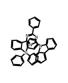 c1ccc(-c2nc(-c3ccccc3[Si](c3ccccc3)(c3ccccc3)c3ccccc3)nc(-n3c4ccccc4c4ccccc43)n2)cc1